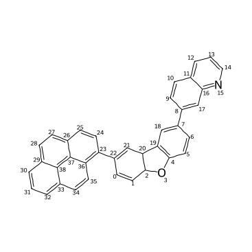 C1=CC2Oc3ccc(-c4ccc5cccnc5c4)cc3C2C=C1c1ccc2ccc3cccc4ccc1c2c34